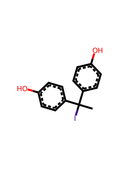 CC(I)(c1ccc(O)cc1)c1ccc(O)cc1